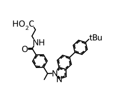 CC(c1ccc(C(=O)NCCC(=O)O)cc1)n1ncc2cc(-c3ccc(C(C)(C)C)cc3)ccc21